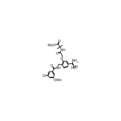 COC(=O)C(C)(C)NC(=O)COc1cc(C(=N)N)ccc1CNC(=O)c1cc(Cl)cc(OC)c1.Cl